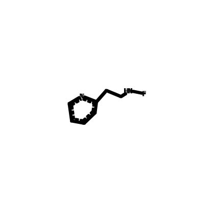 FNCCc1ccccn1